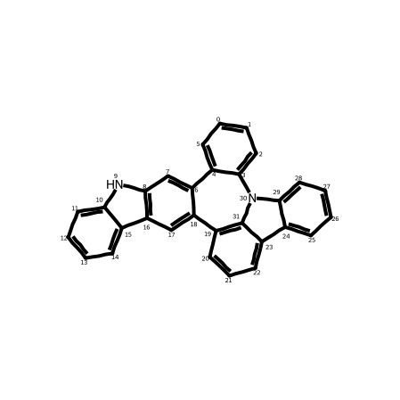 c1ccc2c(c1)-c1cc3[nH]c4ccccc4c3cc1-c1cccc3c4ccccc4n-2c13